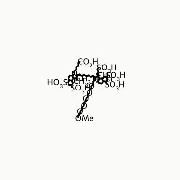 COCCOCCOCCOCCOCCOCC[N+]1=C(/C=C/C=C/C=C/C=C2/N(CCCCCC(=O)O)c3ccc4c(S(=O)(=O)O)cc(S(=O)(=O)O)cc4c3C2(C)C)C(C)(CCCS(=O)(=O)O)c2c1ccc1c(S(=O)(=O)O)cc(S(=O)(=O)O)cc21